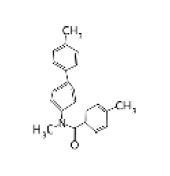 Cc1ccc(C(=O)N(C)c2ccc(-c3ccc(C)cc3)cc2)cc1